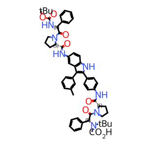 Cc1cccc(-c2c(-c3ccc(NC(=O)[C@@H]4CCCN4C(=O)[C@@H](c4ccccc4)N(C(=O)O)C(C)(C)C)cc3)[nH]c3ccc(NC(=O)[C@@H]4CCCN4C(=O)[C@H](NC(=O)OC(C)(C)C)c4ccccc4)cc23)c1